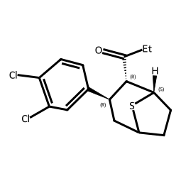 CCC(=O)[C@@H]1[C@@H]2CCC(C[C@H]1c1ccc(Cl)c(Cl)c1)S2